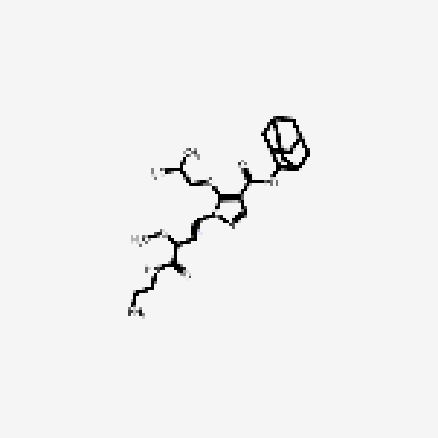 COC(/C=C/n1ncc(C(=O)NC2C3CC4CC(C3)CC2C4)c1OCC(C)C)C(=O)NCCN